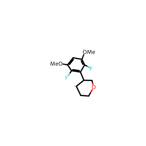 COc1cc(OC)c(F)c(C2[CH]CCOC2)c1F